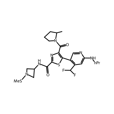 CCCNc1cc(C(F)F)c(-c2sc(C(=O)NC3CN(SC)C3)nc2C(=O)N2CCCC2C)cn1